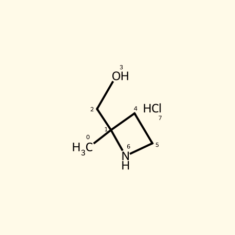 CC1(CO)CCN1.Cl